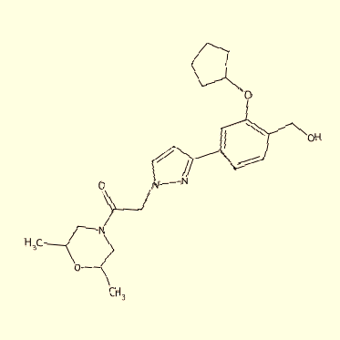 CC1CN(C(=O)Cn2ccc(-c3ccc(CO)c(OC4CCCC4)c3)n2)CC(C)O1